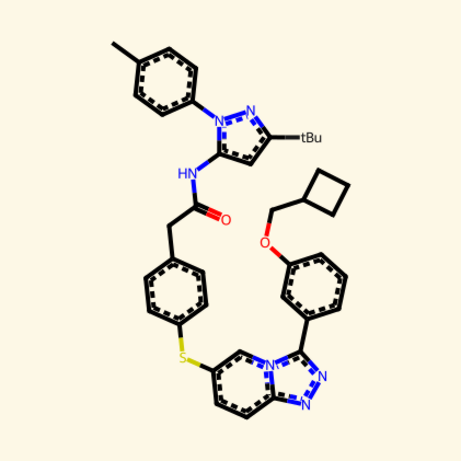 Cc1ccc(-n2nc(C(C)(C)C)cc2NC(=O)Cc2ccc(Sc3ccc4nnc(-c5cccc(OCC6CCC6)c5)n4c3)cc2)cc1